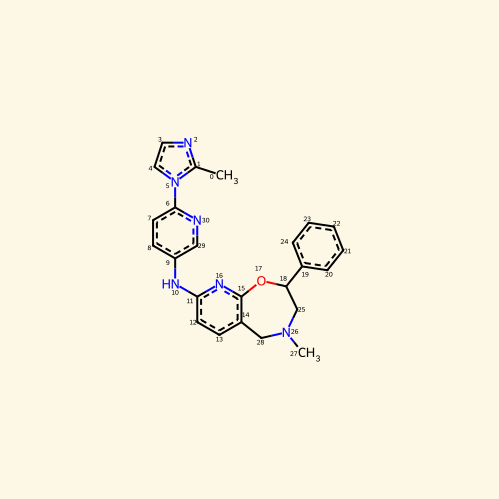 Cc1nccn1-c1ccc(Nc2ccc3c(n2)OC(c2ccccc2)CN(C)C3)cn1